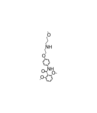 COCCCNCCOc1ccc(NC(=O)c2c(OC)cccc2OC)cc1